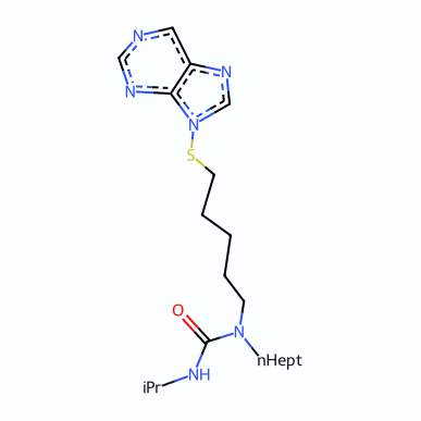 CCCCCCCN(CCCCCSn1cnc2cncnc21)C(=O)NC(C)C